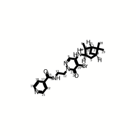 C[C@H]1[C@H]2C[C@H](C[C@H]1Nc1cnn(CCNC(=O)c3ccncc3)c(=O)c1Br)C2(C)C